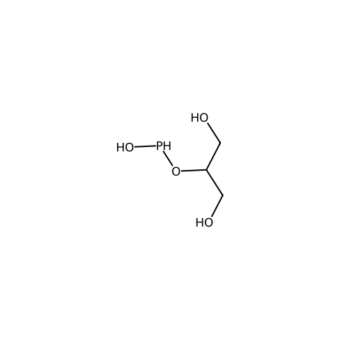 OCC(CO)OPO